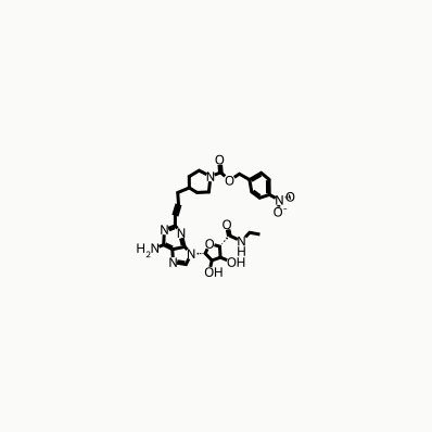 CCNC(=O)[C@H]1O[C@@H](n2cnc3c(N)nc(C#CCC4CCN(C(=O)OCc5ccc([N+](=O)[O-])cc5)CC4)nc32)C(O)C1O